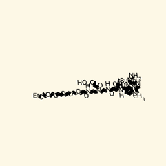 CCOCCOCCOCCOCCOCCOCCC(=O)NCCCN(CCCNC(=O)CCC(NC(=O)c1ccc(N(C)Cc2cnc3nc(N)nc(N)c3n2)cc1)C(=O)OC(C)(C)C)C(=O)CCC(=O)O